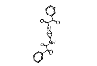 O=C(NC1C2C1N2C(=O)C(=O)c1ccccc1)C(=O)c1ccccc1